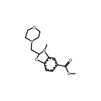 COC(=O)c1ccc2c(c1)N(C)C(CN1CCOCC1)O2